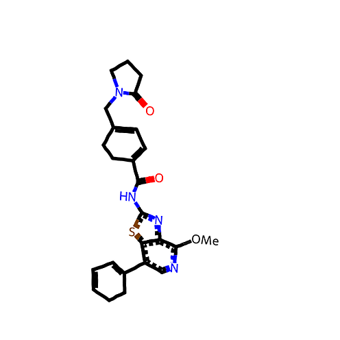 COc1ncc(C2=CC=CCC2)c2sc(NC(=O)C3=CC=C(CN4CCCC4=O)CC3)nc12